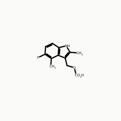 Cc1[nH]c2ccc(F)c(C)c2c1COC(=O)O